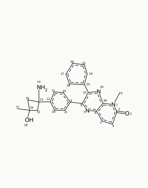 Cn1c(=O)ccc2nc(-c3ccc(C4(N)CC(C)(O)C4)cc3)c(-c3ccccc3)nc21